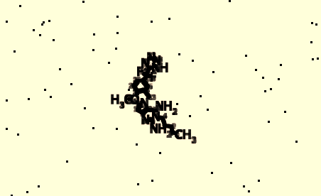 CCCCCN1C(N)=Nc2ccn(Cc3cc(C(F)(F)c4nnn[nH]4)ccc3OC)c2C1N